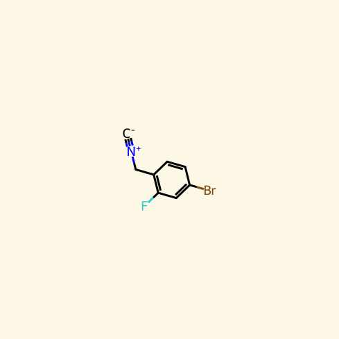 [C-]#[N+]Cc1ccc(Br)cc1F